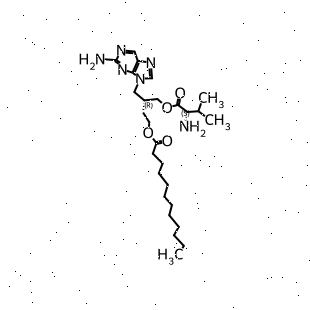 CCCCCCCCCCCC(=O)OCC[C@@H](COC(=O)[C@@H](N)C(C)C)Cn1cnc2cnc(N)nc21